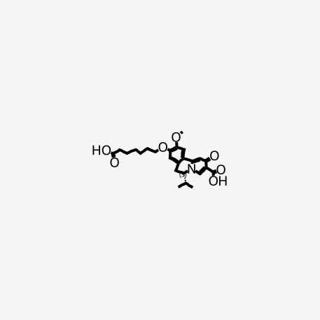 COc1cc2c(cc1OCCCCCCC(=O)O)C[C@@H](C(C)C)n1cc(C(=O)O)c(=O)cc1-2